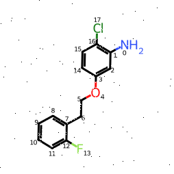 Nc1cc(OCCc2ccccc2F)ccc1Cl